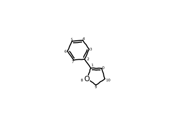 C1=C(c2ccccc2)OCC1